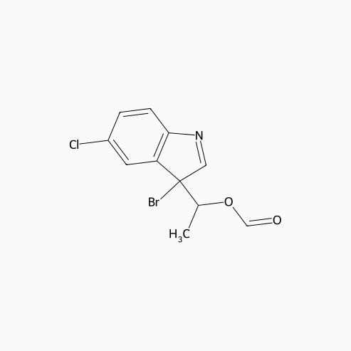 CC(OC=O)C1(Br)C=Nc2ccc(Cl)cc21